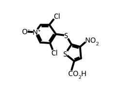 O=C(O)c1cc([N+](=O)[O-])c(Sc2c(Cl)c[n+]([O-])cc2Cl)s1